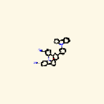 N#Cc1ccc(-c2cccc(-c3cccc(-n4c5ccccc5c5ccccc54)c3)c2)c(-n2c3ccccc3c3ccc(C#N)cc32)c1